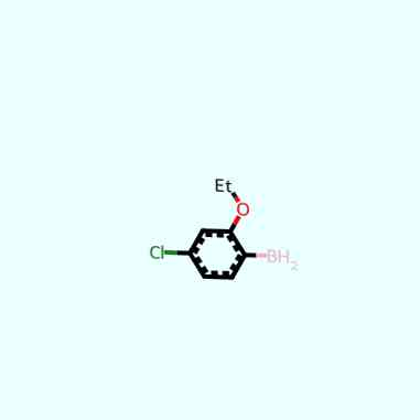 Bc1ccc(Cl)cc1OCC